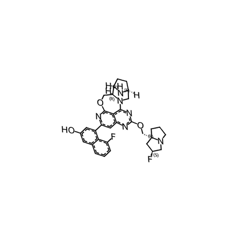 Oc1cc(-c2cc3nc(OC[C@]45CCCN4C[C@@H](F)C5)nc4c3c(n2)OC[C@H]2[C@H]3CC[C@@H](CN42)N3)c2c(F)cccc2c1